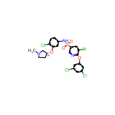 CN1CC[C@@H](Oc2cc(NS(=O)(=O)c3cnc(Oc4cc(Cl)cc(Cl)c4)c(Br)c3)ccc2Cl)C1